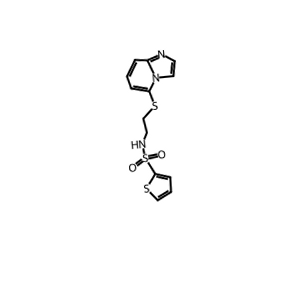 O=S(=O)(NCCSc1cccc2nccn12)c1cccs1